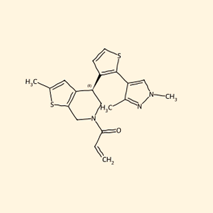 C=CC(=O)N1Cc2sc(C)cc2[C@@H](c2ccsc2-c2cn(C)nc2C)C1